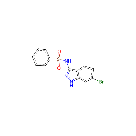 O=S(=O)(Nc1n[nH]c2cc(Br)ccc12)c1ccccc1